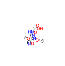 COc1nccc(OC2CC2)c1-c1cn(COCC[Si](C)(C)C)c2nc(NC(=O)[C@@H]3C[C@H]3C(=O)O)ccc12